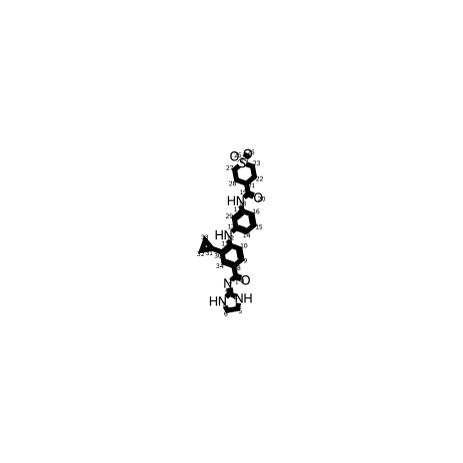 O=C(N=C1NCCN1)c1ccc(Nc2cccc(NC(=O)C3CCS(=O)(=O)CC3)c2)c(C2CC2)c1